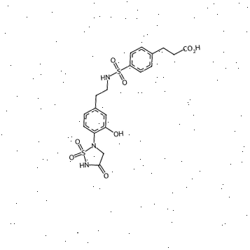 O=C(O)CCc1ccc(S(=O)(=O)NCCc2ccc(N3CC(=O)NS3(=O)=O)c(O)c2)cc1